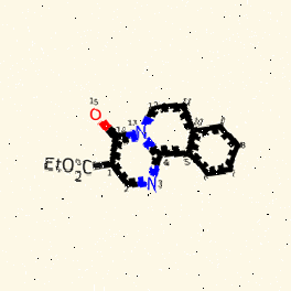 CCOC(=O)c1cnc2c3ccccc3ccn2c1=O